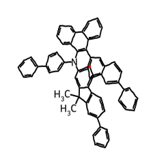 CC1(C)c2cc(-c3ccccc3)ccc2-c2ccc(N(c3ccc(-c4ccccc4)cc3)c3c(-c4ccc5cc(-c6ccccc6)ccc5c4)c4ccccc4c4ccccc34)cc21